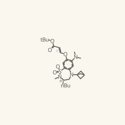 CCCC[C@@H]1CN(C23CC(C2)C3)c2cc(N(C)C)c(O/C=C/C(=O)OC(C)(C)C)cc2S(=O)(=O)N1C